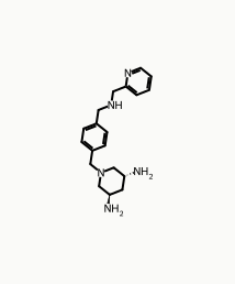 N[C@@H]1C[C@@H](N)CN(Cc2ccc(CNCc3ccccn3)cc2)C1